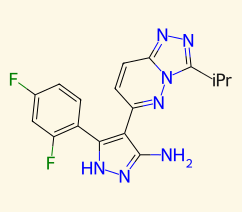 CC(C)c1nnc2ccc(-c3c(N)n[nH]c3-c3ccc(F)cc3F)nn12